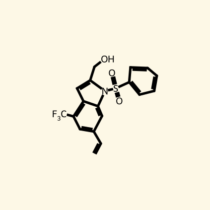 C=Cc1cc(C(F)(F)F)c2cc(CO)n(S(=O)(=O)c3ccccc3)c2c1